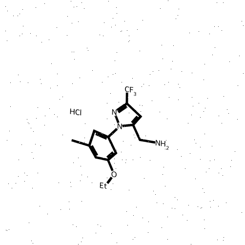 CCOc1cc(C)cc(-n2nc(C(F)(F)F)cc2CN)c1.Cl